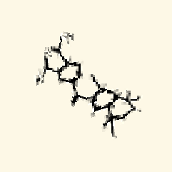 C=C(c1ccc(C(=O)O)c(C(=O)O)c1)c1cc2c(cc1C)C(C)(C)CCC2(C)C